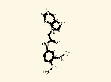 COc1ccc(NC(=O)Cn2cnc3cncnc32)cc1OC